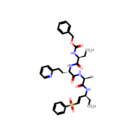 CC(C)[C@H](NC(=O)[C@H](CCc1ccccn1)NC(=O)[C@H](CC(=O)O)NC(=O)OCc1ccccc1)C(=O)N[C@H](/C=C/S(=O)(=O)c1ccccc1)CC(=O)O